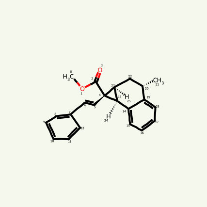 COC(=O)[C@@]1(C=Cc2ccccc2)[C@@H]2c3ccccc3[C@@H](C)C[C@@H]21